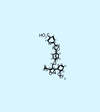 O=C(O)c1ccc(-c2noc(C34CCC(OCc5c(-c6ccccc6OC(F)(F)F)noc5C5CC5)(CC3)CC4)n2)nc1